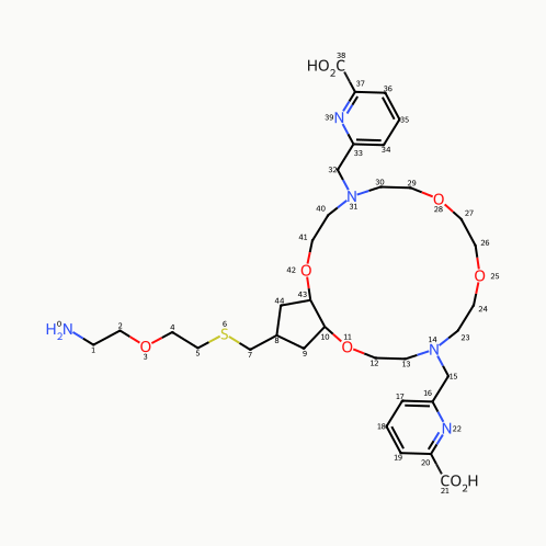 NCCOCCSCC1CC2OCCN(Cc3cccc(C(=O)O)n3)CCOCCOCCN(Cc3cccc(C(=O)O)n3)CCOC2C1